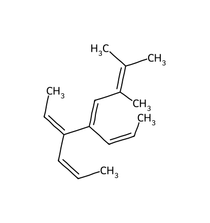 C\C=C/C(=C/C)C(/C=C\C)=C/C(C)=C(C)C